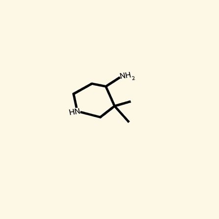 CC1(C)CNCCC1N